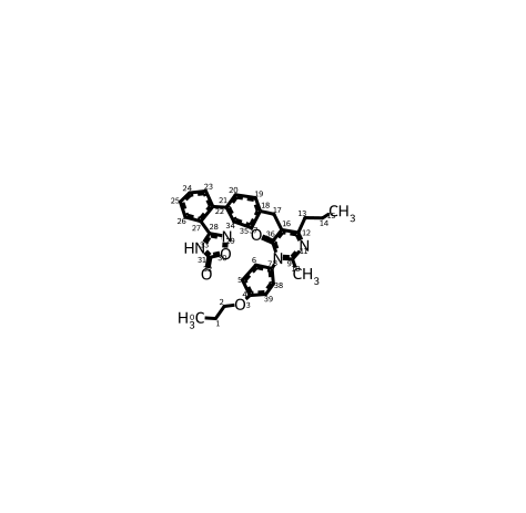 CCCOc1ccc(-n2c(C)nc(CCC)c(Cc3ccc(-c4ccccc4-c4noc(=O)[nH]4)cc3)c2=O)cc1